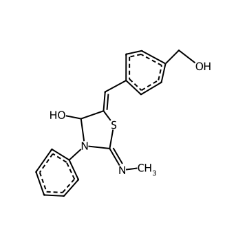 C/N=C1\S/C(=C\c2ccc(CO)cc2)C(O)N1c1ccccc1